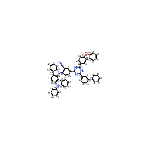 N#Cc1cc(-c2nc(-c3cccc(-c4ccccc4)c3)nc(-c3ccc4oc5ccccc5c4c3)n2)ccc1-n1c2ccccc2c2ccc3c(c4ccccc4n3-c3ccccc3)c21